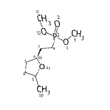 COP(=O)(CC[C@@H]1CCC(C)O1)OC